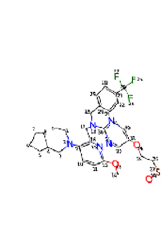 CCN(CC1CCCC1)c1ccc(OC)nc1CN(Cc1ccc(C(F)(F)F)cc1)c1ncc(OCC[S+](C)[O-])cn1